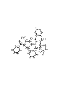 CC(=O)N([C@@H](Cc1ccccc1)C(O)C1=NCC(C)(C)S1)N1C(=O)C(C(C)C)N(C(=O)c2cccnc2)C=C1c1ccccc1